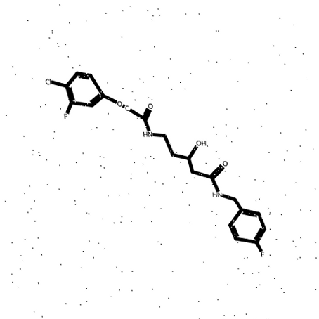 O=C(COc1ccc(Cl)c(F)c1)NCCC(O)CC(=O)NCc1ccc(F)cc1